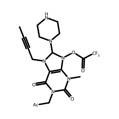 CC#CCN1c2c(n(C)c(=O)n(CC(C)=O)c2=O)N(OC(=O)C(F)(F)F)C1N1CCNCC1